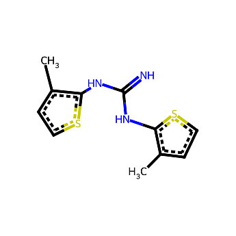 Cc1ccsc1NC(=N)Nc1sccc1C